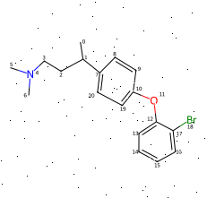 CC(CCN(C)C)c1ccc(Oc2ccccc2Br)cc1